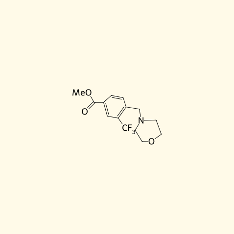 COC(=O)c1ccc(CN2CCOCC2)c(C(F)(F)F)c1